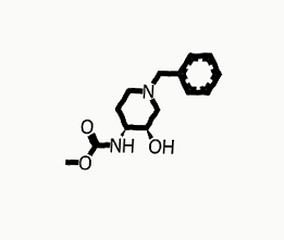 COC(=O)N[C@@H]1CCN(Cc2ccccc2)C[C@H]1O